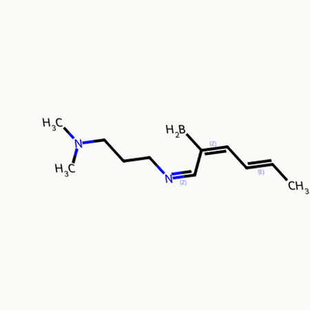 BC(/C=N\CCCN(C)C)=C/C=C/C